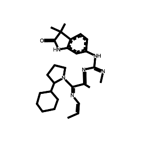 C\C=C/N=C(\C(C)=N\C(=N/C)Nc1ccc2c(c1)NC(=O)C2(C)C)N1CCCC1C1CCCCC1